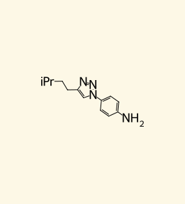 CC(C)CCc1cn(-c2ccc(N)cc2)nn1